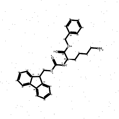 NCCCC[C@@H](NC(=O)OCC1c2ccccc2-c2ccccc21)C(=O)OCc1ccccc1